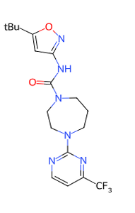 CC(C)(C)c1cc(NC(=O)N2CCCN(c3nccc(C(F)(F)F)n3)CC2)no1